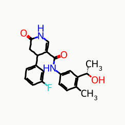 Cc1ccc(NC(=O)C2=CNC(=O)CC2c2cccc(F)c2)cc1[C@H](C)O